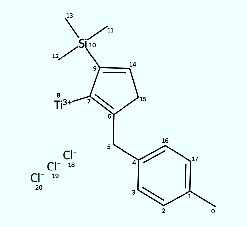 Cc1ccc(CC2=[C]([Ti+3])C([Si](C)(C)C)=CC2)cc1.[Cl-].[Cl-].[Cl-]